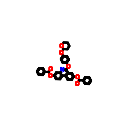 O=C(Oc1ccc2c(c1)nc(Oc1ccc(OC3CCCCO3)cc1)c1cc(OC(=O)c3ccccc3)ccc12)c1ccccc1